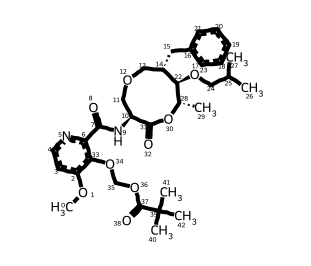 COc1ccnc(C(=O)N[C@H]2COC[C@H](Cc3ccccc3)[C@@H](OCC(C)C)[C@H](C)OC2=O)c1OCOC(=O)C(C)(C)C